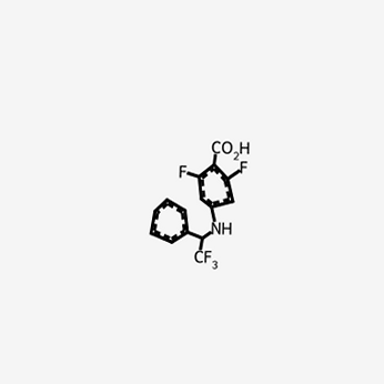 O=C(O)c1c(F)cc(NC(c2ccccc2)C(F)(F)F)cc1F